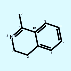 [C]C1=NCCc2ccccc21